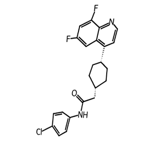 O=C(C[C@H]1CC[C@@H](c2ccnc3c(F)cc(F)cc32)CC1)Nc1ccc(Cl)cc1